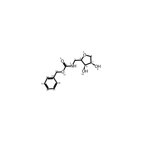 O=C(NCC1OC[C@@H](O)[C@H]1O)OCc1ccccc1